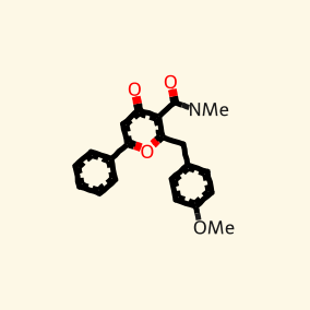 CNC(=O)c1c(Cc2ccc(OC)cc2)oc(-c2ccccc2)cc1=O